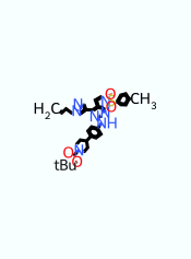 C=CCCn1cc(-c2nc(Nc3ccc(C4CCN(C(=O)OC(C)(C)C)CC4)cc3)nc3c2ccn3S(=O)(=O)c2ccc(C)cc2)cn1